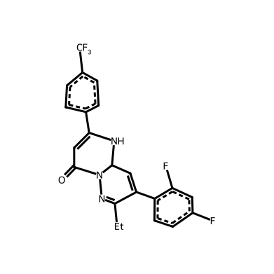 CCC1=NN2C(=O)C=C(c3ccc(C(F)(F)F)cc3)NC2C=C1c1ccc(F)cc1F